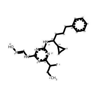 CCC(F)c1nc(NC=NO)nc(NC(CCCc2ccccc2)C2CC2)n1